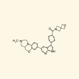 CN1CCN2c3ccc(-c4cnc5[nH]cc(-c6ccc(C(=O)N7CC8(COC8)C7)cc6)c5c4)cc3OCC2C1